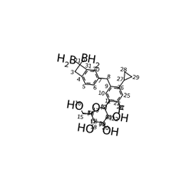 BC1(B)Cc2ccc(Cc3cc([C@@H]4O[C@H](CO)[C@@H](O)[C@H](O)[C@H]4O)c(F)cc3C3CC3)cc21